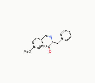 COC(=O)[C@H](Cc1ccccc1)/N=C\c1ccc(OC)cc1